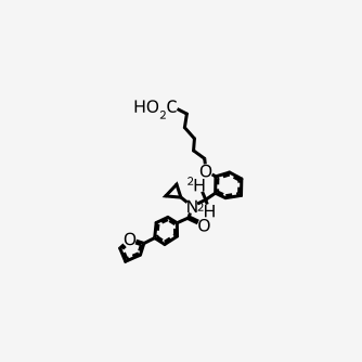 [2H]C([2H])(c1ccccc1OCCCCCC(=O)O)N(C(=O)c1ccc(-c2ccco2)cc1)C1CC1